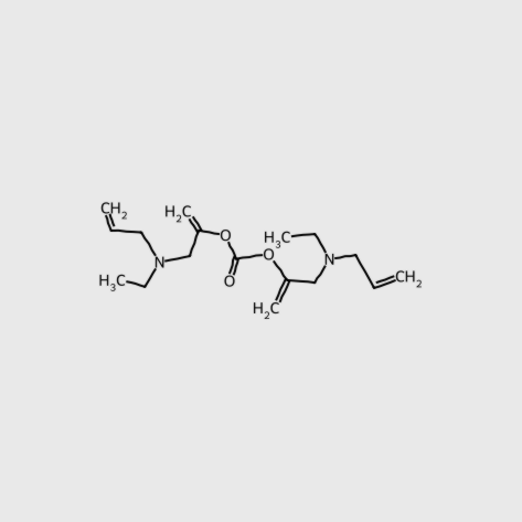 C=CCN(CC)CC(=C)OC(=O)OC(=C)CN(CC)CC=C